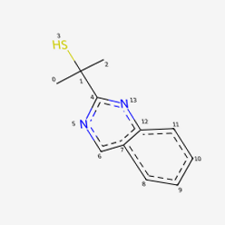 CC(C)(S)c1ncc2ccccc2n1